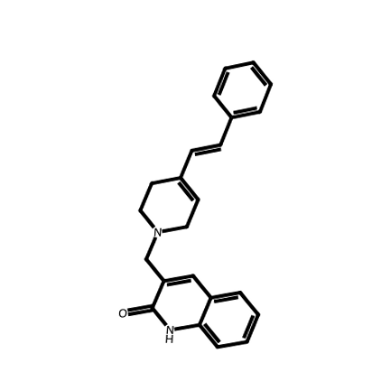 O=c1[nH]c2ccccc2cc1CN1CC=C(C=Cc2ccccc2)CC1